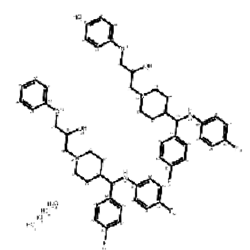 Cl.Cl.Cl.Cl.O.OC(COc1ccccc1)CN1CCC(C(Nc2ccc(F)cc2)c2ccc(F)cc2)CC1.OC(COc1ccccc1)CN1CCC(C(Nc2ccc(F)cc2)c2ccc(F)cc2)CC1